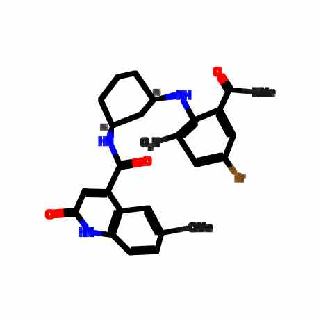 CNC(=O)c1cc(Br)cc([N+](=O)[O-])c1N[C@@H]1CCC[C@H](NC(=O)c2cc(=O)[nH]c3ccc(OC)cc23)C1